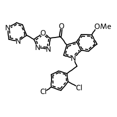 COc1ccc2c(c1)c(C(=O)c1nnc(-c3ccncn3)o1)cn2Cc1ccc(Cl)cc1Cl